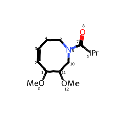 COC1/C=C\CCN(C(=O)C(C)C)CC1OC